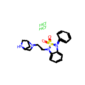 Cl.Cl.O=S1(=O)N(CCN2CC3CC2CN3)c2ccccc2N1c1ccccc1